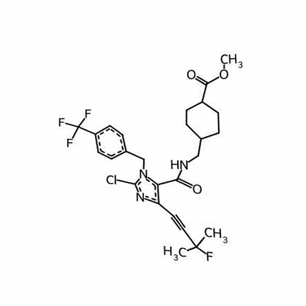 COC(=O)C1CCC(CNC(=O)c2c(C#CC(C)(C)F)nc(Cl)n2Cc2ccc(C(F)(F)F)cc2)CC1